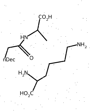 CCCCCCCCCCCC(=O)NC(C)C(=O)O.NCCCCC(N)C(=O)O